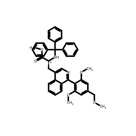 COCc1cc(OC)c(-c2ncc(C[C@H](NC(c3ccccc3)(c3ccccc3)c3ccccc3)C(=O)OC)c3ccccc23)c(OC)c1